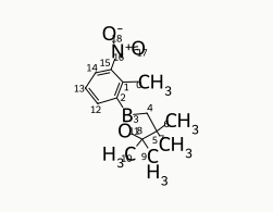 Cc1c(B2CC(C)(C)C(C)(C)O2)cccc1[N+](=O)[O-]